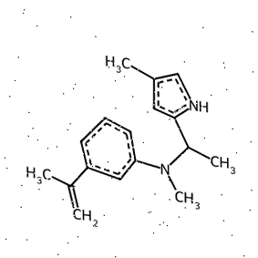 C=C(C)c1cccc(N(C)C(C)c2cc(C)c[nH]2)c1